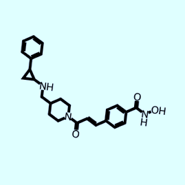 O=C(NO)c1ccc(/C=C/C(=O)N2CCC(CNC3CC3c3ccccc3)CC2)cc1